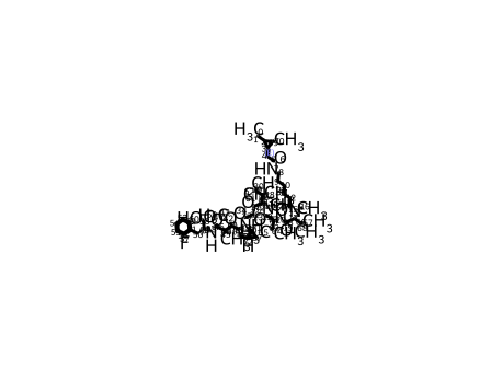 CCC1/C(=C/C(=O)NCCCCCC(=O)N(C)C(C(=O)N[C@H](C(=O)N(C)[C@@H]([C@@H](C)CC)[C@@H](CC(=O)N2[C@H]3C[C@H]3C[C@H]2[C@H](OC)[C@@H](C)C(=O)N[C@@H](Cc2ccccc2F)C(=O)O)OC)C(C)C)C(C)C)C1C